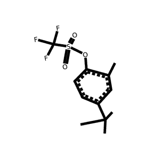 Cc1cc(C(C)(C)C)ccc1OS(=O)(=O)C(F)(F)F